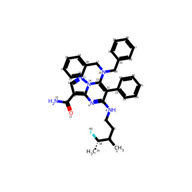 CC(CCNc1nc2c(C(N)=O)cnn2c(N(Cc2ccccc2)Cc2ccccc2)c1-c1ccccc1)[C@H](C)F